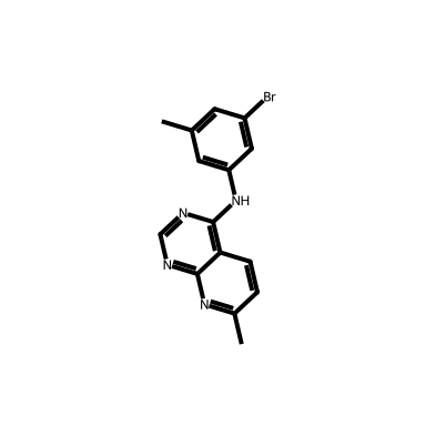 Cc1cc(Br)cc(Nc2ncnc3nc(C)ccc23)c1